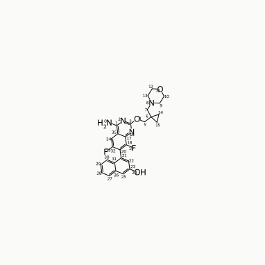 Nc1nc(OCC2(CN3CCOCC3)CC2)nc2c(F)c(-c3cc(O)cc4ccccc34)c(F)cc12